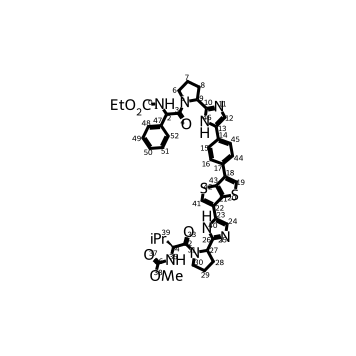 CCOC(=O)NC(C(=O)N1CCCC1c1ncc(-c2ccc(-c3csc4c(-c5cnc(C6CCCN6C(=O)[C@@H](NC(=O)OC)C(C)C)[nH]5)csc34)cc2)[nH]1)c1ccccc1